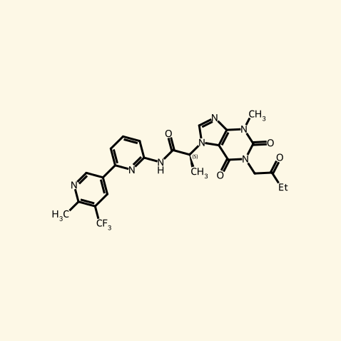 CCC(=O)Cn1c(=O)c2c(ncn2[C@@H](C)C(=O)Nc2cccc(-c3cnc(C)c(C(F)(F)F)c3)n2)n(C)c1=O